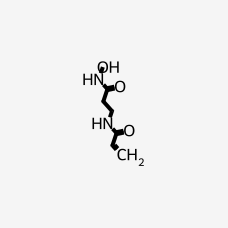 C=CC(=O)NCCC(=O)NO